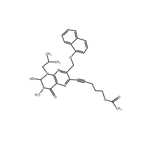 CC(=O)OCCCC#Cc1nc2c(nc1COc1cccc3ccccc13)N(CC(C)C)C(O)N(C)C2=O